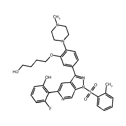 Cc1ccccc1S(=O)(=O)n1nc(-c2ccc(N3CCN(C)CC3)c(OCCCCO)c2)c2cc(-c3c(O)cccc3F)ncc21